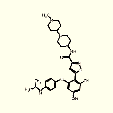 CC(C)Nc1ccc(Oc2cc(O)cc(O)c2-c2cc(C(=O)NC3CCN(C4CCN(C)CC4)CC3)no2)cc1